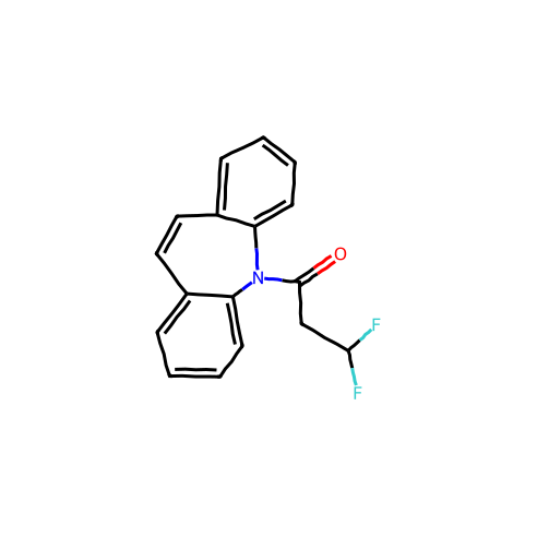 O=C(CC(F)F)N1c2ccccc2C=Cc2ccccc21